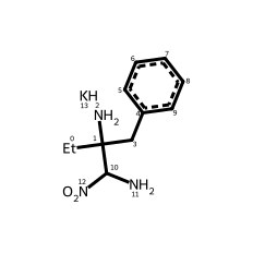 CCC(N)(Cc1ccccc1)C(N)[N+](=O)[O-].[KH]